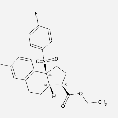 CCOC(=O)[C@@H]1CC[C@@]2(S(=O)(=O)c3ccc(F)cc3)c3ccc(I)cc3CC[C@@H]12